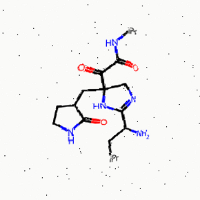 CC(C)CC(N)C1=NCC(CC2CCNC2=O)(C(=O)C(=O)NC(C)C)N1